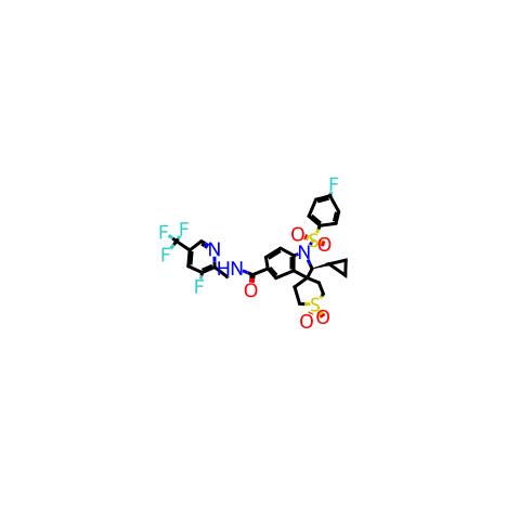 O=C(NCc1ncc(C(F)(F)F)cc1F)c1ccc2c(c1)C1(CCS(=O)(=O)CC1)[C@H](C1CC1)N2S(=O)(=O)c1ccc(F)cc1